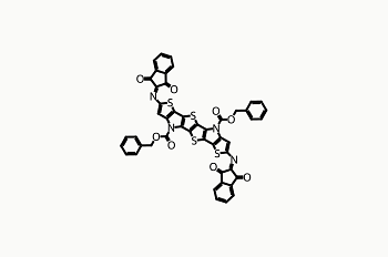 O=C(OCc1ccccc1)n1c2cc(N=c3c(=O)c4ccccc4c3=O)sc2c2sc3c(sc4c5sc(N=c6c(=O)c7ccccc7c6=O)cc5n(C(=O)OCc5ccccc5)c43)c21